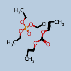 CC=COC(=O)OC=CC.CCOP(=O)(OCC)OCC